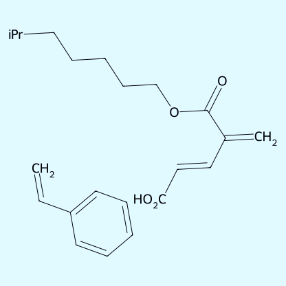 C=C(C=CC(=O)O)C(=O)OCCCCCC(C)C.C=Cc1ccccc1